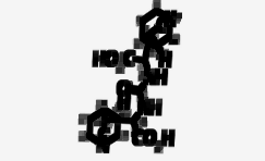 O=C(NC(C(=O)O)[C@H]1CN2CCC1CC2)NC(C(=O)O)[C@H]1CN2CCC1CC2